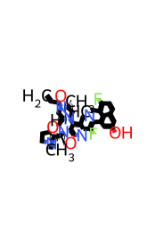 C#Cc1c(F)ccc2cc(O)cc(-c3ncc4c5c6c(nc4c3F)OC[C@@H]([C@@H]3CCCN3C)N6C(=O)[C@H]3CN(C(=O)C=C)[C@H](C)CN53)c12